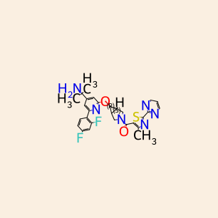 Cc1nc(-c2ncccn2)sc1C(=O)N1CC2[C@@H](C1)[C@@H]2Oc1cc(C(C)(C)N)cc(-c2ccc(F)cc2F)n1